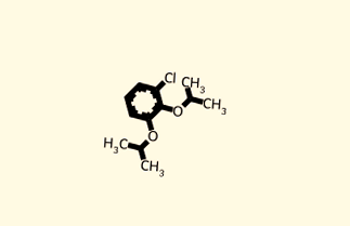 CC(C)Oc1cccc(Cl)c1OC(C)C